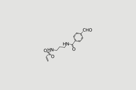 C=CS(=O)(=O)NCCCNC(=O)c1ccc(C=O)cc1